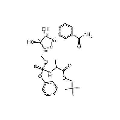 CC(NP(=O)(OC[C@H]1O[C@@H]([n+]2cccc(C(N)=O)c2)[C@H](O)[C@@H]1O)Oc1ccccc1)C(=O)OCC(C)(C)C